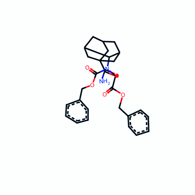 NC(=O)C12CC3CC(C1)C(N(CC(=O)OCc1ccccc1)C(=O)OCc1ccccc1)C(C3)C2